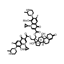 COc1c(N2CCNC(C)C2)c(F)cc2c(=O)c(C(=O)OC[C](COC(=O)c3cn(C4CC4)c4c(OC)c(N5CCNC(C)C5)c(F)cc4c3=O)[C@@]3(O)CC[C@@H]4[C@H]5CCC6=CC(=O)CC[C@@]6(C)C5[C@H](O)C[C@]43C)cn(C3CC3)c12